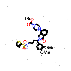 COc1ccc([C@@H](CCCNS(=O)(=O)c2cccs2)N2Cc3c(cccc3N3CCN(C(=O)OC(C)(C)C)CC3)C2=O)cc1OC